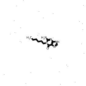 CCCCCCn1c(N)nc2[nH]cnc2c1=O